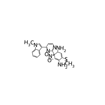 CSC1=CC(N)C(c2nccc(-c3cn(C)c4ccccc34)n2)([N+](=O)[O-])C=C1N